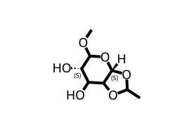 COC1O[C@@H]2OC(C)OC2C(O)[C@@H]1O